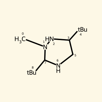 CN1NC(C(C)(C)C)CNC1C(C)(C)C